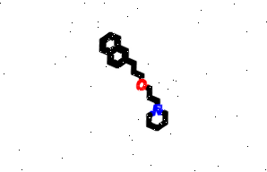 c1ccc2cc(CCCOCCCN3CCCCC3)ccc2c1